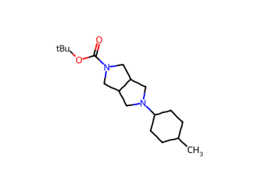 CC1CCC(N2CC3CN(C(=O)OC(C)(C)C)CC3C2)CC1